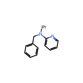 CC(C)N(Cc1ccccc1)c1ccccn1